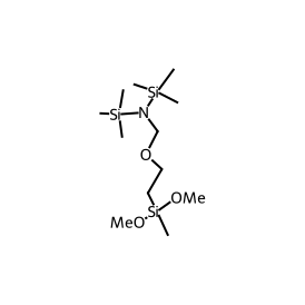 CO[Si](C)(CCOCN([Si](C)(C)C)[Si](C)(C)C)OC